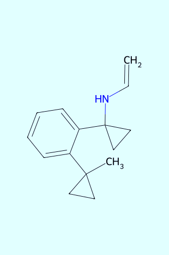 C=CNC1(c2ccccc2C2(C)CC2)CC1